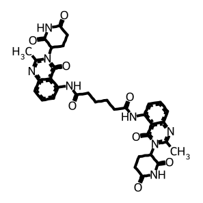 Cc1nc2cccc(NC(=O)CCCCC(=O)Nc3cccc4nc(C)n(C5CCC(=O)NC5=O)c(=O)c34)c2c(=O)n1C1CCC(=O)NC1=O